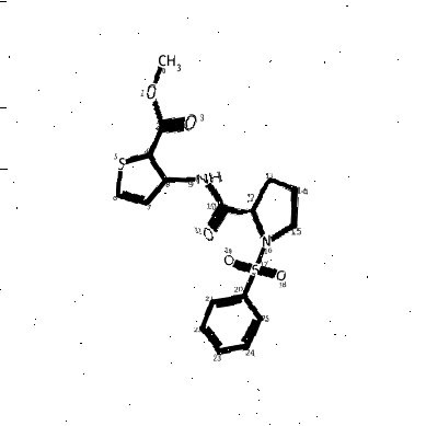 COC(=O)C1SC=CC1NC(=O)[C@H]1CCCN1S(=O)(=O)c1ccccc1